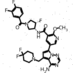 COc1ncc(-c2cc(CN3CCC(F)(F)CC3)c3c(N)ncnn23)cc1C(=O)N[C@@H]1CN(C(=O)c2ccc(F)c(F)c2)C[C@@H]1F